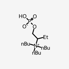 CCCC[N+](CCCC)(CCCC)C(CC)COP(=O)([O-])O